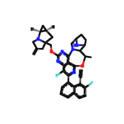 C#Cc1c(F)ccc2cccc(-c3nc4c5c(nc(OCC67CC(=C)CN6[C@H]6C[C@H]6C7)nc5c3F)N3CC5CCC(N5)C3C(C)O4)c12